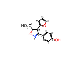 O=C(O)C1ON=C(c2ccc(O)cc2)C1c1ccco1